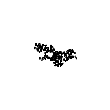 CC[C@H]1CCC[C@H](O[C@H]2CC[C@H](N(C)C)C(C)O2)[C@@H](C)C(=O)C2=C[C@H]3[C@@H]4C[C@H](O[C@@H]5OC(C)[C@H](OC)C(OC)C5OC)C[C@H]4C[C@H](Nc4cccc(C(F)(F)F)c4)[C@H]3[C@@H]2CC(=O)O1